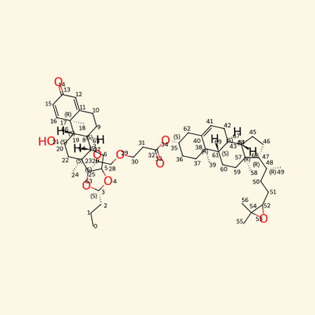 CCC[C@H]1OC2C[C@H]3[C@@H]4CCC5=CC(=O)C=C[C@]5(C)[C@H]4[C@@H](O)C[C@]3(C)[C@]2(C(=O)COCCC(=O)O[C@H]2CC[C@@]3(C)C(=CC[C@H]4[C@@H]5CC[C@H]([C@H](C)CCC6OC6(C)C)[C@@]5(C)CC[C@@H]43)C2)O1